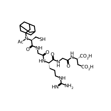 CC(=O)N([C@@H](CS)C(=O)NCC(=O)N[C@@H](CCCNC(=N)N)C(=O)NCC(=O)N[C@@H](CC(=O)O)C(=O)O)C12CC3CC(CC(C3)C1)C2